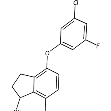 CSc1ccc(Oc2cc(F)cc(Cl)c2)c2c1C(O)CC2